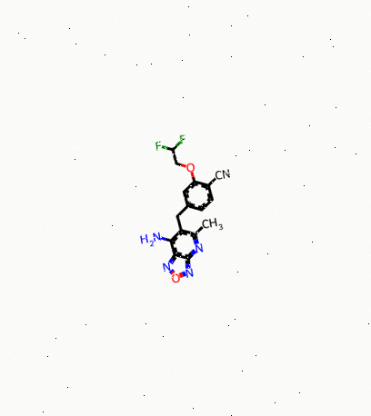 Cc1nc2nonc2c(N)c1Cc1ccc(C#N)c(OCC(F)F)c1